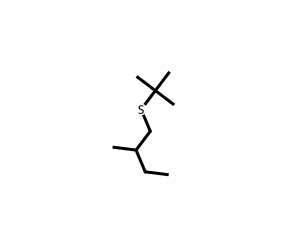 CCC(C)CSC(C)(C)C